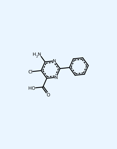 Nc1nc(-c2ccccc2)nc(C(=O)O)c1Cl